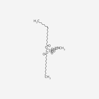 CCCCCC/C=C\CCCCCCCCCC(=O)OC(COC(=O)CCCCCCCCCCCCC)COP(=O)(O)OCCNC